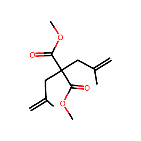 C=C(C)CC(CC(=C)C)(C(=O)OC)C(=O)OC